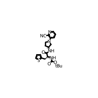 CC(C)(C)OC(=O)N[C@@H](Cc1cccs1)C(=O)N[C@H]1CCN(c2cccnc2C#N)C1